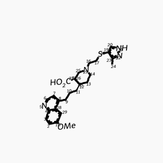 COc1ccc2nccc(CCC[C@@H]3CCN(CCSc4c[nH]nc4C)C[C@@H]3C(=O)O)c2c1